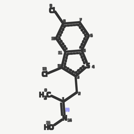 C/C(Cc1sc2ccc(Cl)cc2c1Cl)=N\O